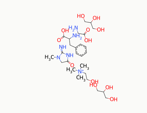 CN1CC(=O)NC1=N.C[N+](C)(C)CCO.NC(Cc1ccccc1)C(=O)O.NCC(=O)O.OCC(O)CO.OCC(O)CO